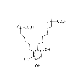 CC(C)(CCCCCCc1c(O)cc(O)c(O)c1CCCCCC1(C(=O)O)CC1)C(=O)O